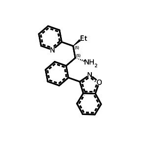 CC[C@H](c1ccccn1)[C@H](N)c1ccccc1-c1noc2ccccc12